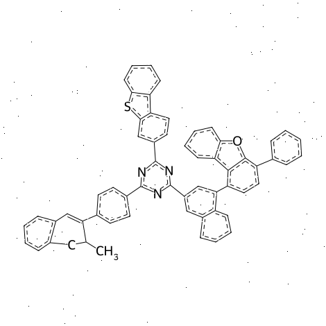 CC1Cc2ccccc2C=C1c1ccc(-c2nc(-c3cc(-c4ccc(-c5ccccc5)c5oc6ccccc6c45)c4ccccc4c3)nc(-c3ccc4c(c3)sc3ccccc34)n2)cc1